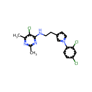 Cc1nc(C)c(Cl)c(NCCc2ccn(-c3ccc(Cl)cc3Cl)c2)n1